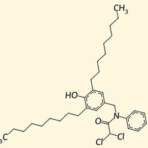 CCCCCCCCCc1cc(CN(C(=O)C(Cl)Cl)c2ccccc2)cc(CCCCCCCCC)c1O